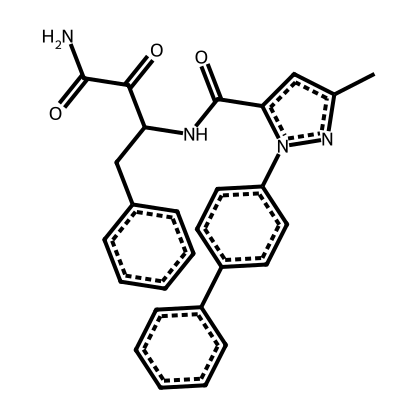 Cc1cc(C(=O)NC(Cc2ccccc2)C(=O)C(N)=O)n(-c2ccc(-c3ccccc3)cc2)n1